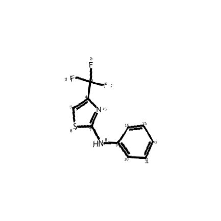 FC(F)(F)c1csc(Nc2c[c]ccc2)n1